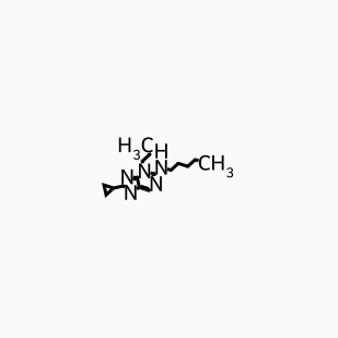 CCCCCNc1ncc2nc(C3CC3)nc-2n1CCC